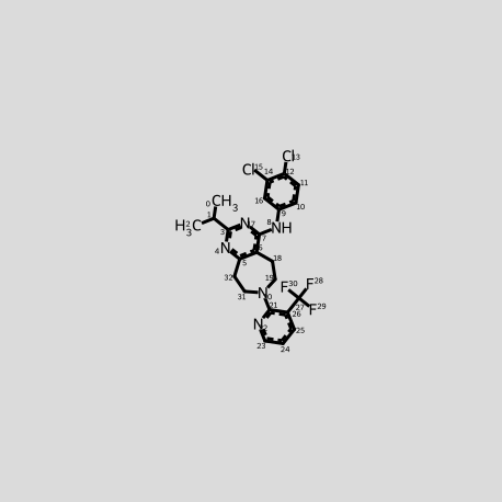 CC(C)c1nc2c(c(Nc3ccc(Cl)c(Cl)c3)n1)CCN(c1ncccc1C(F)(F)F)CC2